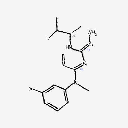 C=C/C(=N\C(=N\N)N[C@@H](C)C(C)Cl)N(C)c1cccc(Br)c1